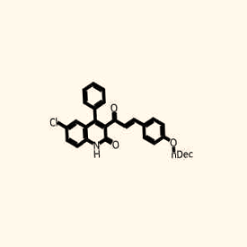 CCCCCCCCCCOc1ccc(C=CC(=O)c2c(-c3ccccc3)c3cc(Cl)ccc3[nH]c2=O)cc1